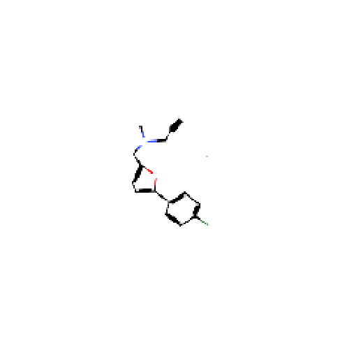 C#CCN(C)Cc1ccc(-c2ccc(Cl)cc2)o1.Cl